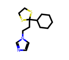 c1cn(CCC2(C3CCCCC3)SCCS2)cn1